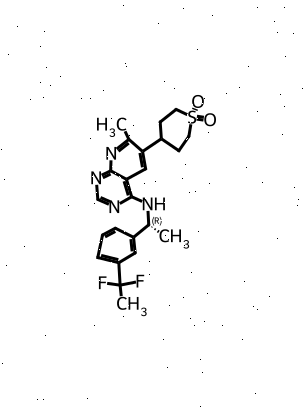 Cc1nc2ncnc(N[C@H](C)c3cccc(C(C)(F)F)c3)c2cc1C1CCS(=O)(=O)CC1